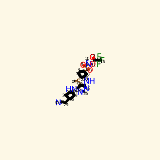 CSc1ccc(S(=O)(=O)N(C)OC(=O)C(F)(F)F)cc1Nc1cc(Nc2ccc(CC#N)cc2)ncn1